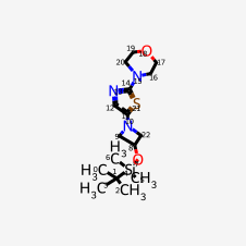 CC(C)(C)[Si](C)(C)OC1CN(c2cnc(N3CCOCC3)s2)C1